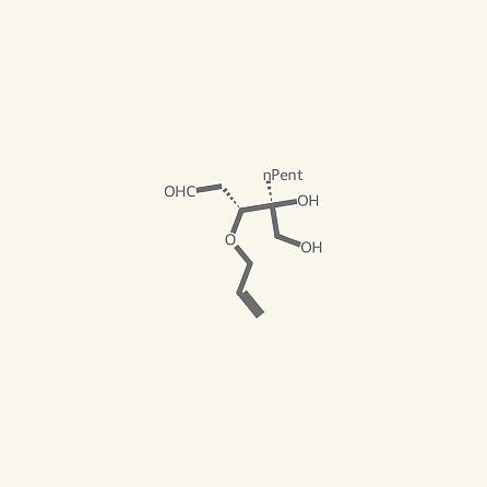 C=CCO[C@H](CC=O)[C@@](O)(CO)CCCCC